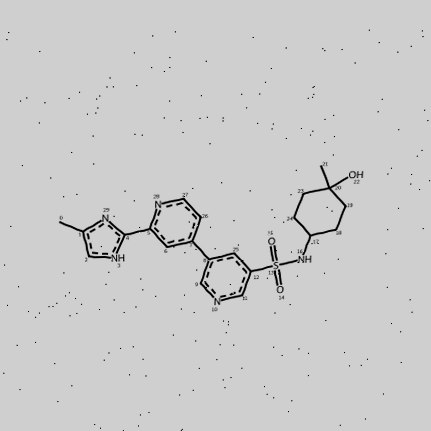 Cc1c[nH]c(-c2cc(-c3cncc(S(=O)(=O)NC4CCC(C)(O)CC4)c3)ccn2)n1